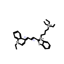 CCN1C=C/C(=C\C=C\c2sc3ccccc3[n+]2CCCC[N+](CC)(CC)CC)c2ccccc21